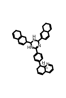 C1=CC2C=CCC(c3ccc(C4=NC(C5=CC6CCC=CC6C=C5)NC(C5C=CC6=C(CCC=C6)C5)N4)cc3)[C@H]2N=C1